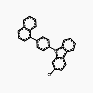 Clc1ccc2c3ccccc3n(-c3ccc(-c4cccc5ccccc45)cc3)c2c1